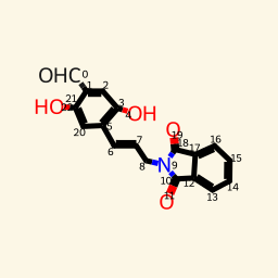 O=Cc1cc(O)c(/C=C/CN2C(=O)c3ccccc3C2=O)cc1O